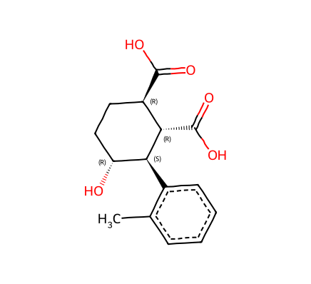 Cc1ccccc1[C@@H]1[C@@H](C(=O)O)[C@H](C(=O)O)CC[C@H]1O